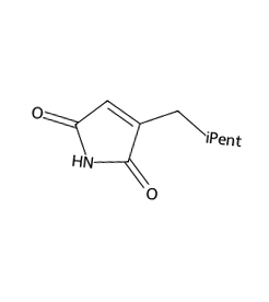 CCCC(C)CC1=CC(=O)NC1=O